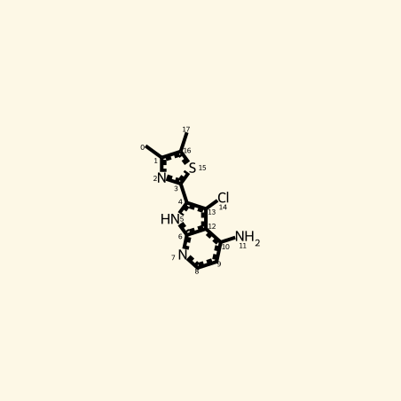 Cc1nc(-c2[nH]c3nccc(N)c3c2Cl)sc1C